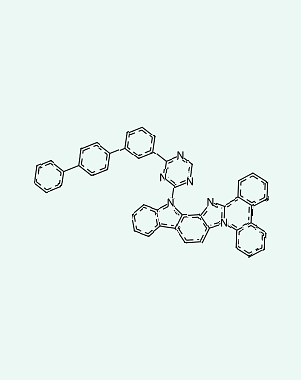 c1ccc(-c2ccc(-c3cccc(-c4ncnc(-n5c6ccccc6c6ccc7c(nc8c9ccccc9c9ccccc9n78)c65)n4)c3)cc2)cc1